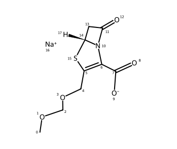 COCOCC1=C(C(=O)[O-])N2C(=O)C[C@H]2S1.[Na+]